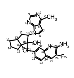 Cc1ncnc2c1ccn2C1CC2CCCC2(O)C1(O)Cc1ccc2cc(F)c(N)nc2c1